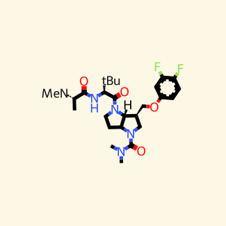 CN[C@@H](C)C(=O)N[C@H](C(=O)N1CCC2[C@H]1[C@@H](COc1ccc(F)c(F)c1)CN2C(=O)N(C)C)C(C)(C)C